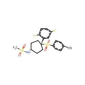 N#Cc1ccc(S(=O)(=O)[C@]2(c3cc(F)ccc3F)CC[C@H](NS(=O)(=O)C(F)(F)F)CC2)cc1